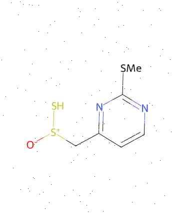 CSc1nccc(C[S+]([O-])S)n1